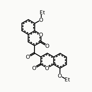 CCOc1cccc2cc(C(=O)c3cc4cccc(OCC)c4oc3=O)c(=O)oc12